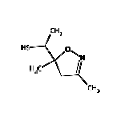 CC1=NOC(C)(C(C)S)C1